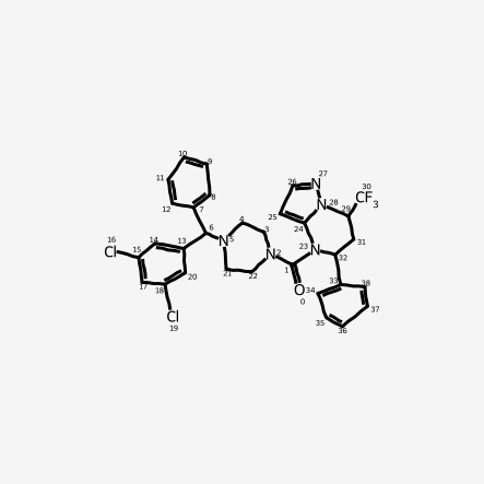 O=C(N1CCN(C(c2ccccc2)c2cc(Cl)cc(Cl)c2)CC1)N1c2ccnn2C(C(F)(F)F)CC1c1ccccc1